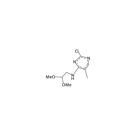 COC(CNc1nc(Cl)ncc1C)OC